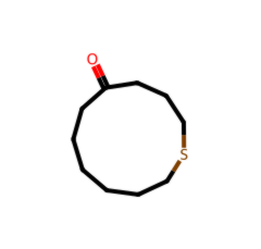 O=C1CCCCCCSCCC1